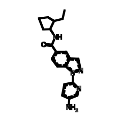 CCC1CCCC1NC(=O)c1ccc2c(cnn2-c2ccc(N)cn2)c1